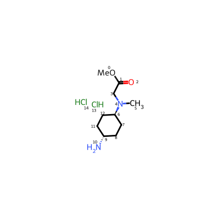 COC(=O)CN(C)[C@H]1CC[C@H](N)CC1.Cl.Cl